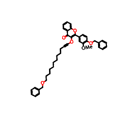 COc1cc(-c2oc3ccccc3c(=O)c2OC#CCCCCCCCCCCOCc2ccccc2)ccc1OCc1ccccc1